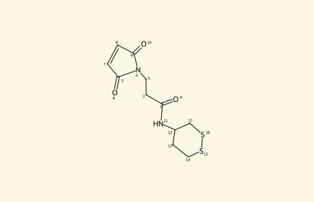 O=C(CCN1C(=O)C=CC1=O)NC1CCSSC1